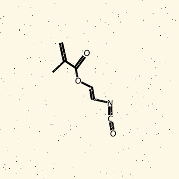 C=C(C)C(=O)OC=CN=C=O